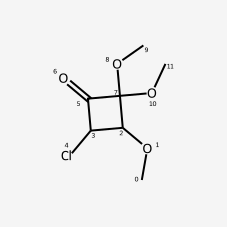 COC1C(Cl)C(=O)C1(OC)OC